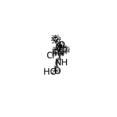 O=C(O)/C=C/CNCCCCN1c2ccccc2C(=O)N(CCc2ccccc2)c2ccc(Cl)cc21